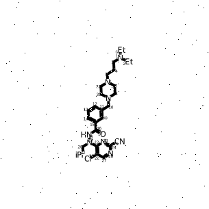 CCN(CC)CCCN1CCN(Cc2cccc(C(=O)NN(CC(C)C)c3nc(C#N)ncc3Cl)c2)CC1